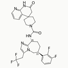 O=C1CC2(CCN(C(=O)N[C@@H]3CC[C@@H](c4cccc(F)c4F)Cn4c(CC(F)(F)F)cnc43)CC2)c2cccnc2N1